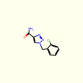 NC(=O)c1cn(Cc2ccccc2Cl)nn1